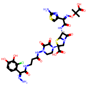 CC(C)(O/N=C(\C(=O)N[C@@H]1C(=O)N2C[C@@](C(=O)O)(N3CCN(NC(=O)CCNC(=O)/C(=N\N)c4ccc(O)c(O)c4Cl)C(=O)C3=O)SC12)c1csc(N)n1)C(=O)O